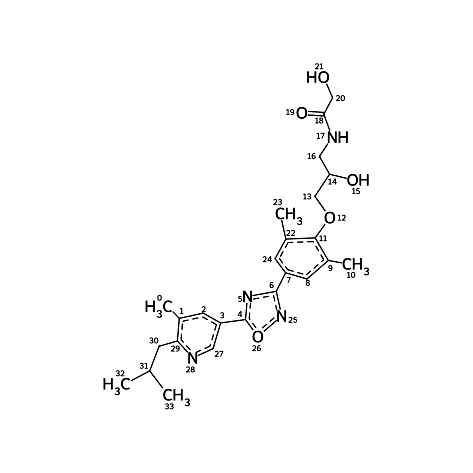 Cc1cc(-c2nc(-c3cc(C)c(OCC(O)CNC(=O)CO)c(C)c3)no2)cnc1CC(C)C